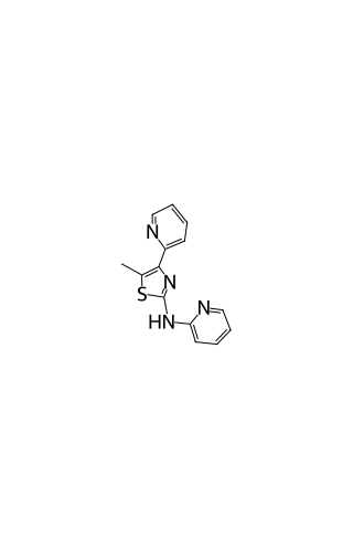 Cc1sc(Nc2ccccn2)nc1-c1ccccn1